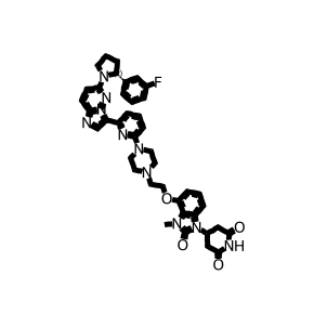 Cn1c(=O)n(C2CC(=O)NC(=O)C2)c2cccc(OCCN3CCN(c4cccc(-c5cnc6ccc(N7CCC[C@@H]7c7cccc(F)c7)nn56)n4)CC3)c21